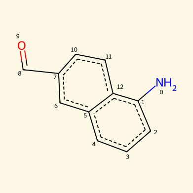 Nc1cccc2cc(C=O)ccc12